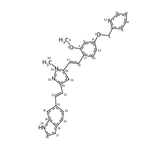 COc1cc(OCc2ccccn2)ccc1C=Cc1cc(C=Cc2ccc3cc[nH]c3c2)nn1C